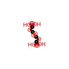 O=C(c1ccc(S(=O)(=O)c2ccc(C(=O)c3ccc(C(=O)O)c(C(=O)O)c3)cc2)cc1)c1ccc(C(=O)O)c(C(=O)O)c1